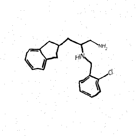 NCC(CC1Cc2ccccc2C1)NCc1ccccc1Cl